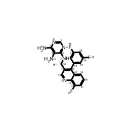 C[C@H](Nc1ncnc(N)c1N)c1cnc2c(F)cccc2c1-c1cc(F)cc(F)c1